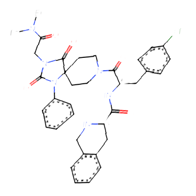 CCN(CC)C(=O)CN1C(=O)N(c2ccccc2)C2(CCN(C(=O)[C@@H](Cc3ccc(Cl)cc3)NC(=O)[C@H]3Cc4ccccc4CN3)CC2)C1=O